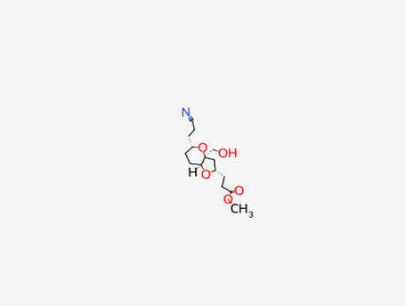 COC(=O)CC[C@H]1C[C@]2(CO)O[C@@H](CCC#N)CC[C@@H]2O1